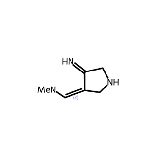 CN/C=C1/CNCC1=N